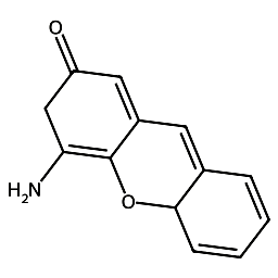 NC1=C2OC3C=CC=CC3=CC2=CC(=O)C1